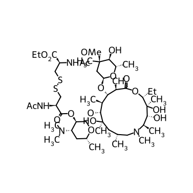 CCOC(=O)[C@H](CSSC[C@H](NC(C)=O)C(=O)O[C@H]1[C@H](O[C@@H]2[C@@H](C)[C@H](O[C@H]3C[C@@](C)(OC)[C@@H](O)[C@H](C)O3)[C@@H](C)C(=O)O[C@H](CC)[C@@](C)(O)[C@H](O)[C@@H](C)N(C)C[C@H](C)C[C@@]2(C)O)O[C@H](C)C[C@@H]1N(C)C)NC(C)=O